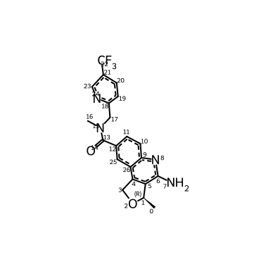 C[C@H]1OCc2c1c(N)nc1ccc(C(=O)N(C)Cc3ccc(C(F)(F)F)cn3)cc21